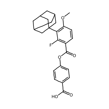 COc1ccc(C(=O)Oc2ccc(C(=O)O)cc2)c(F)c1C12CC3CC(CC(C3)C1)C2